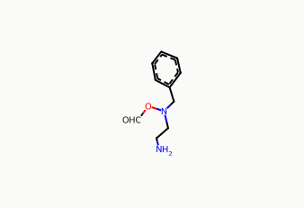 NCCN(Cc1ccccc1)OC=O